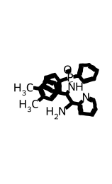 Cc1ccc(C(NP(=O)(c2ccccc2)c2ccccc2)C(N)c2ccccn2)cc1C